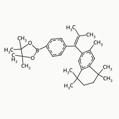 CC(C)=C(c1ccc(B2OC(C)(C)C(C)(C)O2)cc1)c1cc2c(cc1C)C(C)(C)CCC2(C)C